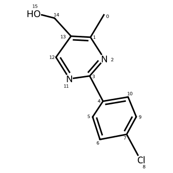 Cc1nc(-c2ccc(Cl)cc2)ncc1CO